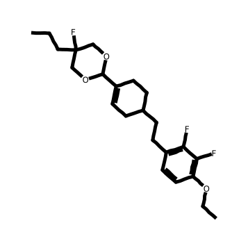 CCCC1(F)COC(C2=CCC(CCc3ccc(OCC)c(F)c3F)CC2)OC1